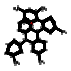 Bc1ccc(-c2ccc(C)cc2C)c(C2c3ccccc3N(c3cccc(C)c3)c3cc(C)ccc32)c1